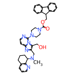 CN(Cc1nc2ccnc(N3CCN(C(=O)OCC4c5ccccc5-c5ccccc54)CC3)n2c1CO)C1CCCc2cccnc21